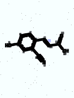 N#Cc1cc(O)ccc1/C=C/C(=O)O